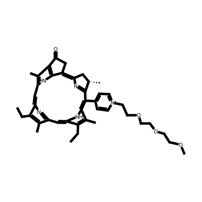 CCC1=C(C)c2cc3[nH]c(c(C)c3CC)c(-c3cc[n+](CCOCCOCCOC)cc3)c3nc(c4c5[nH]c(cc1n2)c(C)c5C(=O)C4)C[C@@H]3C